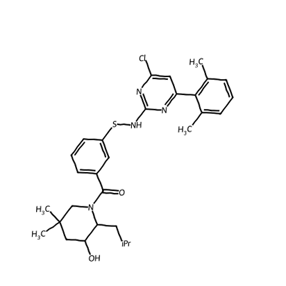 Cc1cccc(C)c1-c1cc(Cl)nc(NSc2cccc(C(=O)N3CC(C)(C)CC(O)C3CC(C)C)c2)n1